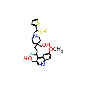 COc1ccc2ncc(CO)c([C@@H](F)CCC3(CO)CCN(CC(S)c4cccs4)CC3)c2c1